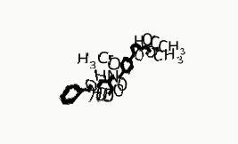 CCOc1cc(-c2ccc(C(=O)OC(C)(C)C)o2)ccc1C(=O)NC(CC(=O)OCc1ccccc1)C(=O)O